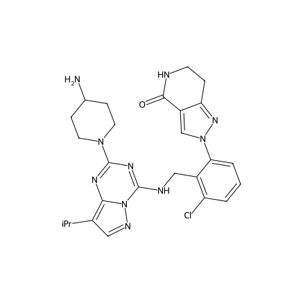 CC(C)c1cnn2c(NCc3c(Cl)cccc3-n3cc4c(n3)CCNC4=O)nc(N3CCC(N)CC3)nc12